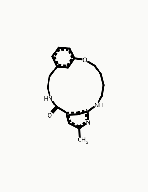 Cc1cc2cc(n1)NCCCCOc1cccc(c1)CCNC2=O